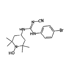 CC1(C)CC(NC(=NC#N)Nc2ccc(Br)cc2)CC(C)(C)N1O